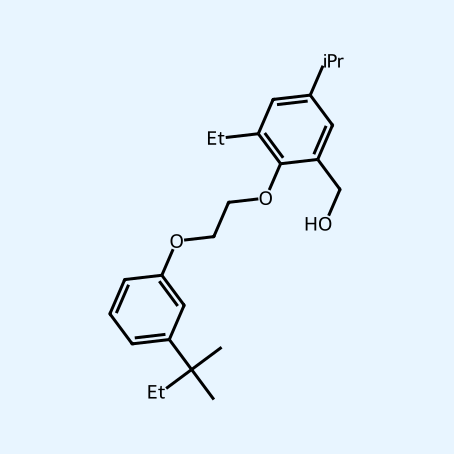 CCc1cc(C(C)C)cc(CO)c1OCCOc1cccc(C(C)(C)CC)c1